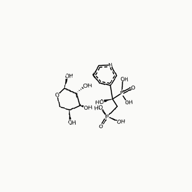 O=P(O)(O)C[C@](O)(c1cccnc1)P(=O)(O)O.O[C@@H]1[C@@H](O)[C@@H](O)CO[C@H]1O